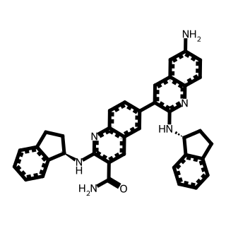 NC(=O)c1cc2cc(-c3cc4cc(N)ccc4nc3N[C@@H]3CCc4ccccc43)ccc2nc1N[C@@H]1CCc2ccccc21